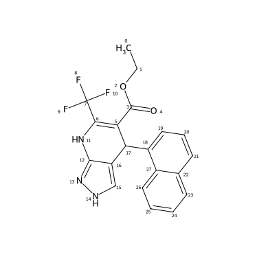 CCOC(=O)C1=C(C(F)(F)F)Nc2n[nH]cc2C1c1cccc2ccccc12